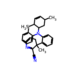 CC1C=CC2[SiH2]c3ccccc3N(c3ccccc3C3(C)CC=CN=C3C#N)C2C1